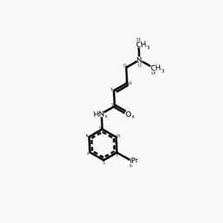 CC(C)c1cccc(NC(=O)/C=C/CN(C)C)c1